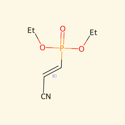 CCOP(=O)(/C=C/C#N)OCC